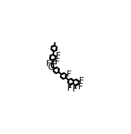 Cc1ccc(-c2ccc(C(F)(F)Oc3ccc(-c4ccc(-c5cc(F)c6c(F)c(F)c(F)cc6c5)c(F)c4)cc3)c(F)c2F)cc1